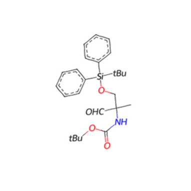 CC(C=O)(CO[Si](c1ccccc1)(c1ccccc1)C(C)(C)C)NC(=O)OC(C)(C)C